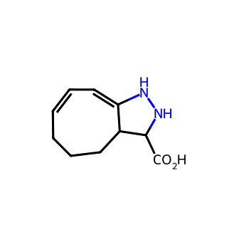 O=C(O)C1NNC2=CC=CCCCC21